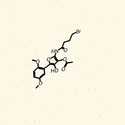 COc1ccc(OC)c(-c2oc(NC(=O)CCCBr)c(OC(C)=O)c2O)c1